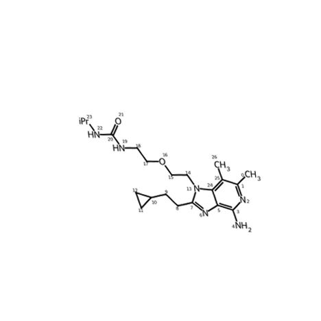 Cc1nc(N)c2nc(CCC3CC3)n(CCOCCNC(=O)NC(C)C)c2c1C